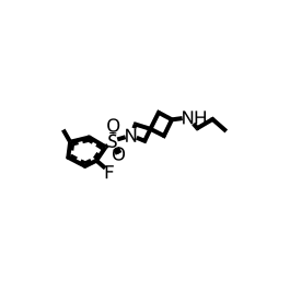 CCCNC1CC2(C1)CN(S(=O)(=O)c1cc(C)ccc1F)C2